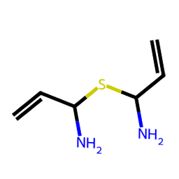 C=CC(N)SC(N)C=C